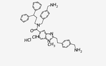 Cl.Cl.Cn1c(CCc2ccc(CN)cc2)nc2cc(C(=O)N(CCC(c3ccccc3)c3ccccc3)Cc3ccc(CN)cc3)ccc21